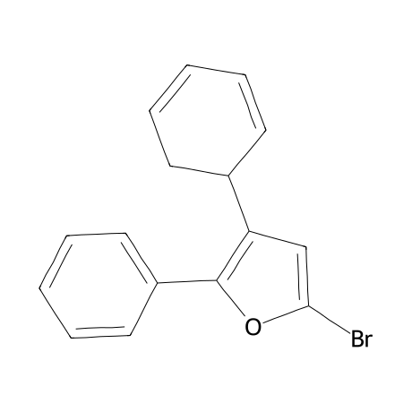 Brc1cc(C2C=CC=CC2)c(-c2ccccc2)o1